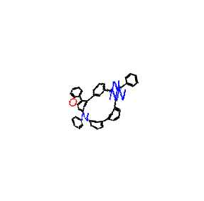 c1ccc(-c2nc3nc(n2)-c2cccc(c2)-c2cc(cc4oc5ccccc5c24)N(c2ccccc2)c2cccc(c2)-c2cccc-3c2)cc1